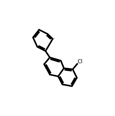 Clc1cccc2ccc(-c3[c]cccc3)cc12